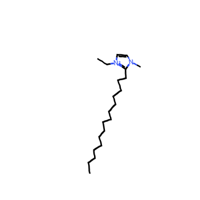 CCCCCCCCCCCCCCCc1n(C)cc[n+]1CC